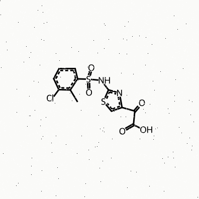 Cc1c(Cl)cccc1S(=O)(=O)Nc1nc(C(=O)C(=O)O)cs1